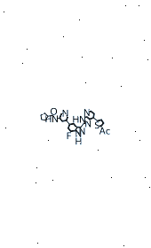 CC(=O)c1ccc(-c2ccnc3[nH]c(-c4n[nH]c5c(F)cc(-c6cncc(NC(=O)C7CCCC7)c6)cc45)nc23)s1